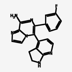 Nc1nc(-c2cccc(F)c2)c(-c2ccnc3c2CCN3)n2ccnc12